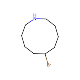 BrC1CCCCNCCCC1